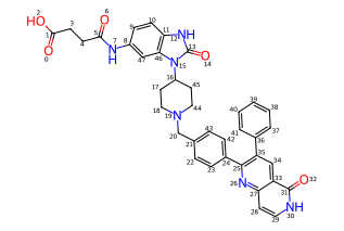 O=C(O)CCC(=O)Nc1ccc2[nH]c(=O)n(C3CCN(Cc4ccc(-c5nc6cc[nH]c(=O)c6cc5-c5ccccc5)cc4)CC3)c2c1